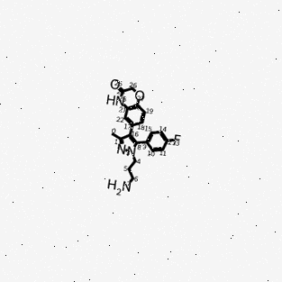 Cc1nn(CCCN)c(-c2ccc(F)cc2)c1-c1ccc2c(c1)NC(=O)CO2